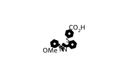 COc1ccccc1-n1cc(-c2ccccc2Sc2ccc(C(=O)O)cc2)nn1